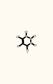 ClC1=C(Cl)N(Cl)N(Cl)N(Cl)C1Cl